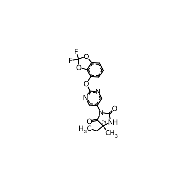 CC[C@@]1(C)NC(=O)N(c2cnc(Oc3cccc4c3OC(F)(F)O4)nc2)C1=O